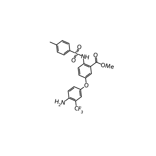 COC(=O)c1cc(Oc2ccc(N)c(C(F)(F)F)c2)ccc1NS(=O)(=O)c1ccc(C)cc1